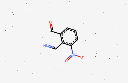 N=[C]c1c([C]=O)cccc1[N+](=O)[O-]